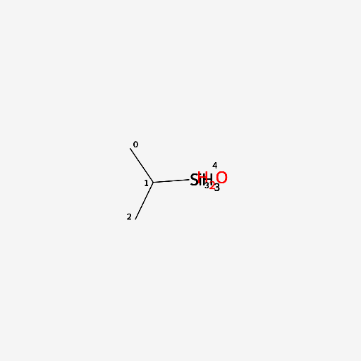 CC(C)[SiH3].O